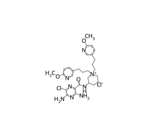 COc1ccc(CCC[N+]2(CCCc3ccc(OC)nc3)CCCC(NC(=O)c3nc(Cl)c(N)nc3N)C2)cn1.[Cl-]